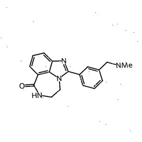 CNCc1cccc(-c2nc3cccc4c3n2CCNC4=O)c1